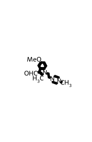 COc1ccc2c(c1)c(C=O)c(C)n2CCN1CCN(C)CC1